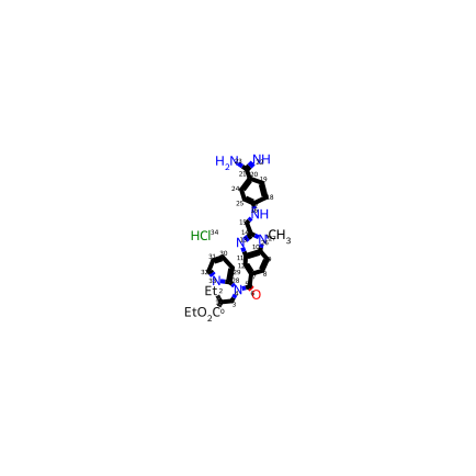 CCOC(=O)C(CC)CN(C(=O)c1ccc2c(c1)nc(CNc1ccc(C(=N)N)cc1)n2C)c1ccccn1.Cl